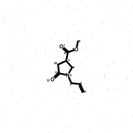 C=CCN1CC(C(=O)OC)CC1=O